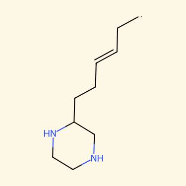 [CH2]CC=CCCC1CNCCN1